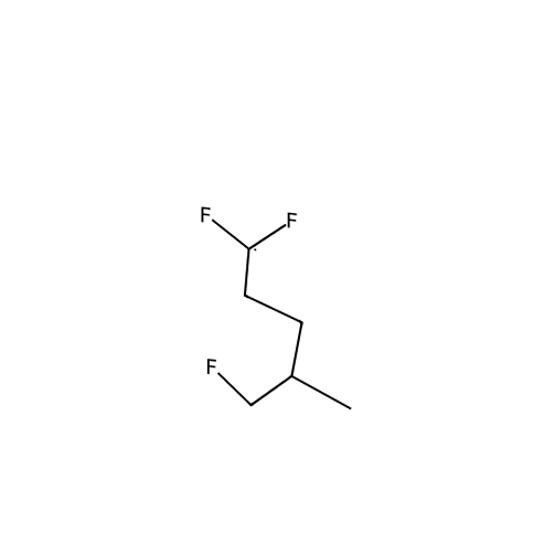 CC(CF)CC[C](F)F